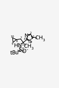 Cc1cnc(C(C)(CC2CC2)N[S+]([O-])C(C)(C)C)s1